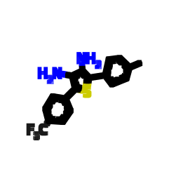 Cc1ccc(-c2sc(-c3ccc(C(F)(F)F)cc3)c(N)c2N)cc1